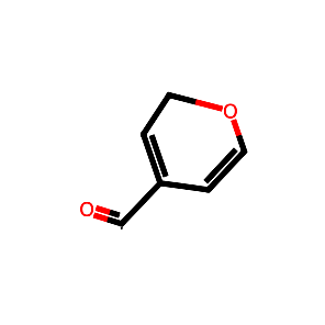 O=[C]C1=CCOC=C1